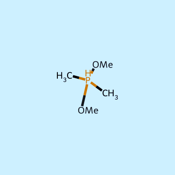 CO[PH](C)(C)OC